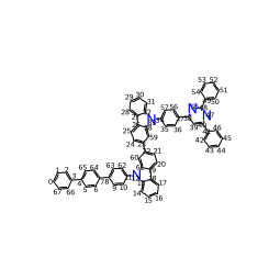 c1ccc(-c2ccc(-c3ccc(-n4c5ccccc5c5ccc(-c6ccc7c8ccccc8n(-c8ccc(-c9cc(-c%10ccccc%10)nc(-c%10ccccc%10)n9)cc8)c7c6)cc54)cc3)cc2)cc1